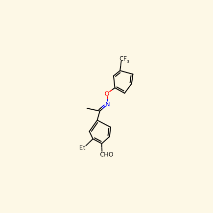 CCc1cc(/C(C)=N/Oc2cccc(C(F)(F)F)c2)ccc1C=O